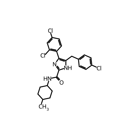 CC1CCC(NC(=O)c2nc(-c3ccc(Cl)cc3Cl)c(Cc3ccc(Cl)cc3)[nH]2)CC1